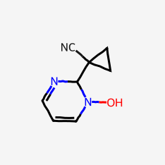 N#CC1(C2N=CC=CN2O)CC1